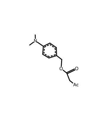 CC(=O)CC(=O)OCc1ccc(N(C)C)cc1